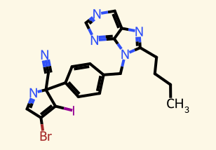 CCCCc1nc2cncnc2n1Cc1ccc(C2(C#N)N=CC(Br)=C2I)cc1